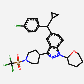 O=S(=O)(N1CCC(c2nn(C3CCCCO3)c3ccc(C(c4ccc(Cl)cc4)C4CC4)cc23)CC1)C(F)(F)F